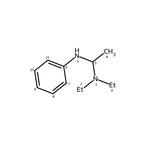 CCN(CC)C(C)Nc1[c]cccc1